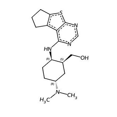 CN(C)[C@@H]1CC[C@@H](Nc2ncnc3sc4c(c23)CCC4)[C@@H](CO)C1